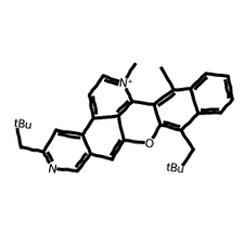 Cc1c2c(c(CC(C)(C)C)c3ccccc13)Oc1cc3cnc(CC(C)(C)C)cc3c3cc[n+](C)c-2c13